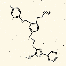 Cc1oc(-c2ccccc2)nc1CCOc1ccc(CCC(=O)O)c(COc2ccc(F)cc2)c1